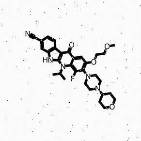 COCCOc1cc2c(=O)c3c4ccc(C#N)cc4[nH]c3n(C(C)C)c2c(F)c1N1CCN(C2CCOCC2)CC1